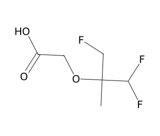 CC(CF)(OCC(=O)O)C(F)F